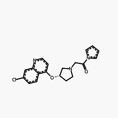 O=C(CN1CC[C@H](Oc2ccnc3cc(Cl)ccc23)C1)n1cccc1